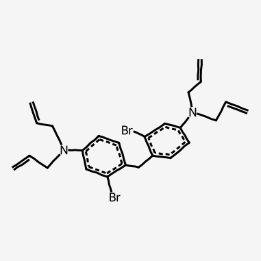 C=CCN(CC=C)c1ccc(Cc2ccc(N(CC=C)CC=C)cc2Br)c(Br)c1